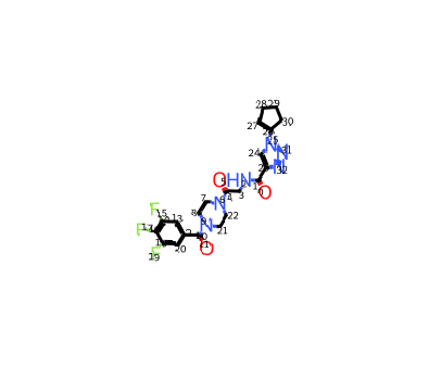 O=C(NCC(=O)N1CCN(C(=O)c2cc(F)c(F)c(F)c2)CC1)c1cn(C2CCCC2)nn1